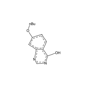 CCCCOc1ccc2c(O)ncnc2c1